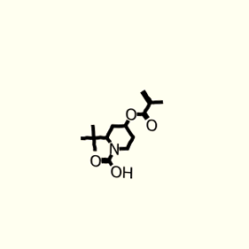 C=C(C)C(=O)OC1CCN(C(=O)O)C(C(C)(C)C)C1